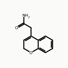 NC(=O)CC1=CCOc2ccccc21